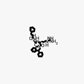 N=C(N)NCCC[C@@H]1N[C@H](CNC(=O)C=Cc2ccccc2)CCN(CC(c2ccccc2)c2ccccc2)C1=O